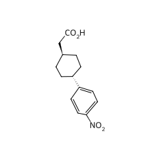 O=C(O)C[C@H]1CC[C@H](c2ccc([N+](=O)[O-])cc2)CC1